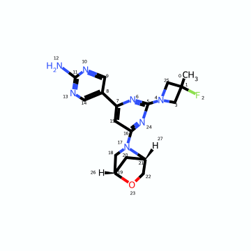 CC1(F)CN(c2nc(-c3cnc(N)nc3)cc(N3C[C@@H]4C[C@H]3CO4)n2)C1